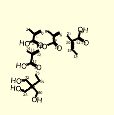 C=C(C)C(=O)O.C=C(C)C(=O)O.C=C(C)C(=O)O.CC=C(C)C(=O)O.CCC(CO)(CO)CO